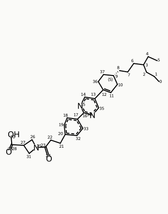 CCCC(CC)CCC[C@@H]1CC=C(c2cnc(-c3ccc(CCC(=O)N4CC(C(=O)O)C4)cc3)nc2)CC1